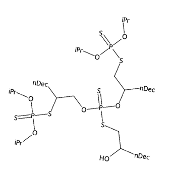 CCCCCCCCCCC(O)CSP(=S)(OCC(CCCCCCCCCC)SP(=S)(OC(C)C)OC(C)C)OC(CCCCCCCCCC)CSP(=S)(OC(C)C)OC(C)C